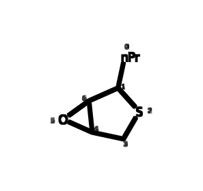 CCCC1SCC2OC21